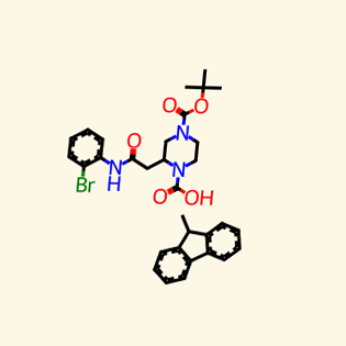 CC(C)(C)OC(=O)N1CCN(C(=O)O)C(CC(=O)Nc2ccccc2Br)C1.CC1c2ccccc2-c2ccccc21